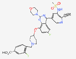 COc1ncc(-c2nc(N3CCOCC3)nc3c(OC4CCN(Cc5ccc(C(=O)O)cc5F)CC4)cc(F)cc23)cc1NS(C)(=O)=O